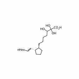 CCCCCCC=C[C@H]1CCC[C@@H]1CCCCC(O)C(O)(O)C(=O)O